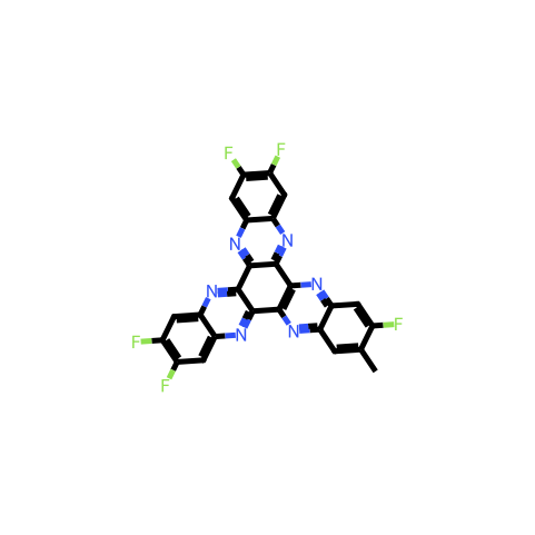 Cc1cc2nc3c(nc2cc1F)c1nc2cc(F)c(F)cc2nc1c1nc2cc(F)c(F)cc2nc31